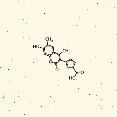 Cc1cc2c(C)c(-c3ccc(C(=O)O)s3)c(=O)oc2cc1O